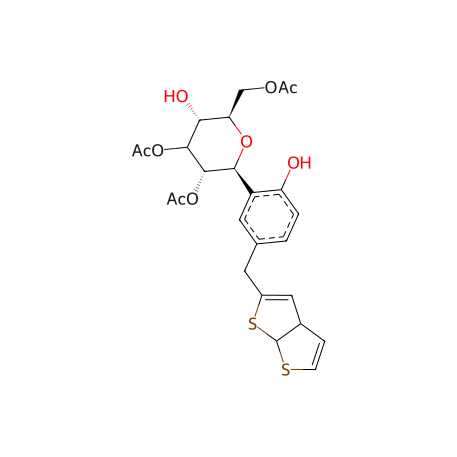 CC(=O)OC[C@H]1O[C@@H](c2cc(CC3=CC4C=CSC4S3)ccc2O)[C@H](OC(C)=O)C(OC(C)=O)[C@@H]1O